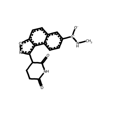 CN[S+]([O-])c1ccc2c(ccc3onc(C4CCC(=O)NC4=O)c32)c1